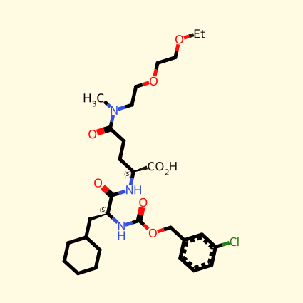 CCOCCOCCN(C)C(=O)CC[C@H](NC(=O)[C@H](CC1CCCCC1)NC(=O)OCc1cccc(Cl)c1)C(=O)O